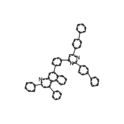 c1ccc(-c2ccc(-c3cc(-c4cccc(-c5cc6nc(-c7ccccc7)cc(-c7ccccc7)c6c6ccccc56)c4)nc(-c4ccc(-c5ccccc5)cc4)n3)cc2)cc1